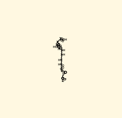 COc1ccc(CCO[C@@H]2CCCC[C@H]2N2CC[C@@H](OC(=O)CC(=O)NCCCNCCCCNCCCN[C@H]3CC[C@@]4(C)[C@H](C3)C[C@@H](O)[C@@H]3[C@@H]4CC[C@]4(C)[C@@H]([C@H](C)CC[C@@H](OS(=O)(=O)O)C(C)C)CC[C@@H]34)C2)cc1OC